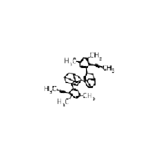 CC#Cc1c(C)cc(C)cc1C12CC3CC(C1)CC(C14CC5CC(CC(c6cc(C)cc(C)c6C#CC)(C5)C1)C4)(C3)C2